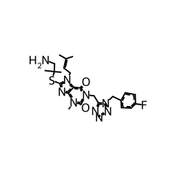 CC(C)=CCn1c(SC(C)(C)CN)nc2c1c(=O)n(Cc1nnnn1Cc1ccc(F)cc1)c(=O)n2C